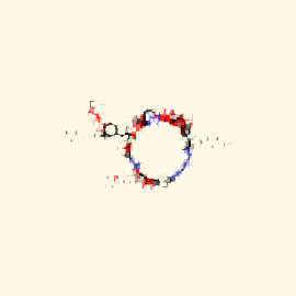 CCOCO[C@@H]1CCC(C[C@@H](C)[C@@H]2CC(=O)[C@H](C)/C=C(\C)[C@@H](O)[C@@H](OC)C(=O)[C@H](C)C[C@H](C)/C=C/C=C/C=C(\C)[C@@H](OC)C[C@@H]3CC[C@@H](C)[C@@](O)(O3)C(=O)C(=O)N3CCCC[C@H]3C(=O)O2)C[C@H]1OC